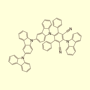 N#Cc1c(-c2ccccc2)c(-n2c3ccccc3c3cc(-n4c5ccccc5c5cc(-n6c7ccccc7c7ccccc76)ccc54)ccc32)c(-c2ccccc2)c(C#N)c1-n1c2ccccc2c2ccccc21